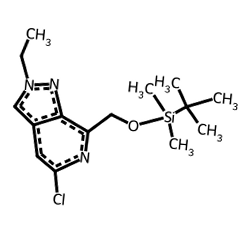 CCn1cc2cc(Cl)nc(CO[Si](C)(C)C(C)(C)C)c2n1